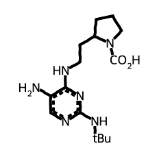 CC(C)(C)Nc1ncc(N)c(NCCC2CCCN2C(=O)O)n1